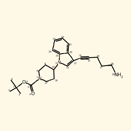 CC(C)(C)OC(=O)N1CCC(n2cc(C#CCCCN)c3ccccc32)CC1